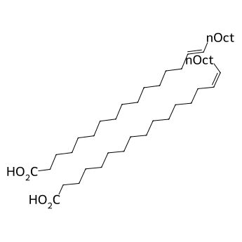 CCCCCCCC/C=C\CCCCCCCCCCCCCC(=O)O.CCCCCCCCC=CCCCCCCCCCCCCCC(=O)O